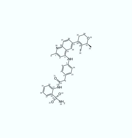 Cc1cc(Nc2ccc(CC(=O)Nc3ccccc3S(N)(=O)=O)cc2)c2cc(C3=C(F)[C@H](C)OCC3)ccc2n1